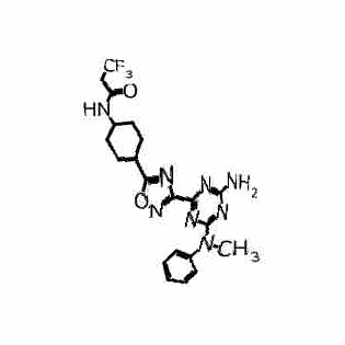 CN(c1ccccc1)c1nc(N)nc(-c2noc(C3CCC(NC(=O)CC(F)(F)F)CC3)n2)n1